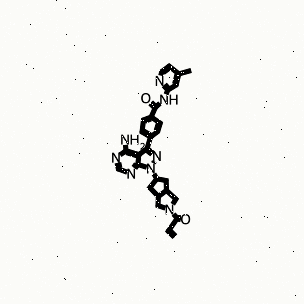 C=CC(=O)N1CC2CC(n3nc(-c4ccc(C(=O)Nc5cc(C)ccn5)cc4)c4c(N)ncnc43)CC2C1